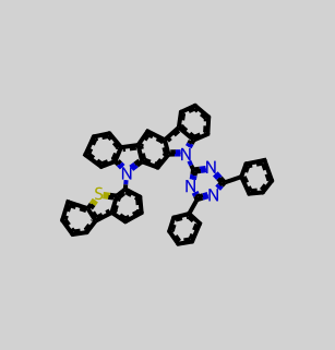 c1ccc(-c2nc(-c3ccccc3)nc(-n3c4ccccc4c4cc5c6ccccc6n(-c6cccc7c6sc6ccccc67)c5cc43)n2)cc1